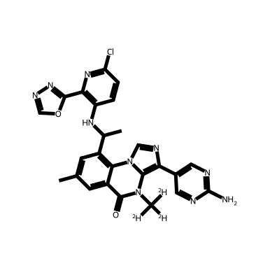 [2H]C([2H])([2H])n1c(=O)c2cc(C)cc(C(C)Nc3ccc(Cl)nc3-c3nnco3)c2n2cnc(-c3cnc(N)nc3)c12